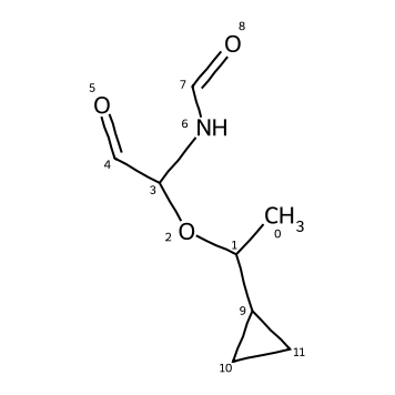 CC(OC(C=O)NC=O)C1CC1